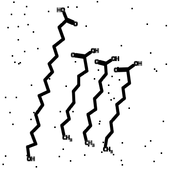 CCCCCCCCCC(=O)O.CCCCCCCCCC(=O)O.CCCCCCCCCC(=O)O.O=C(O)CCCCCCCCCCCCCCCO